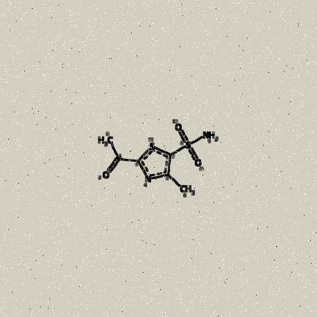 CC(=O)c1nc(C)c(S(N)(=O)=O)s1